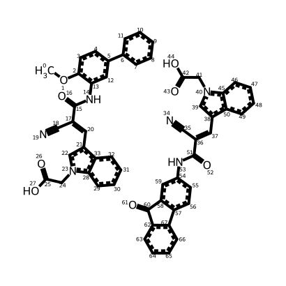 COc1ccc(-c2ccccc2)cc1NC(=O)/C(C#N)=C/c1cn(CC(=O)O)c2ccccc12.N#C/C(=C\c1cn(CC(=O)O)c2ccccc12)C(=O)Nc1ccc2c(c1)C(=O)c1ccccc1-2